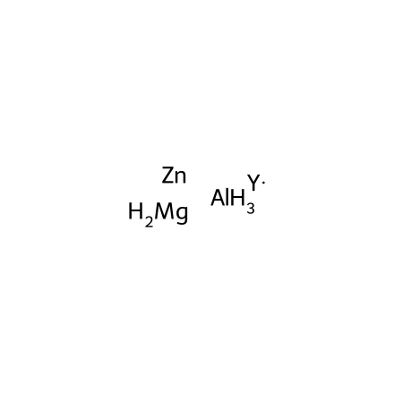 [AlH3].[MgH2].[Y].[Zn]